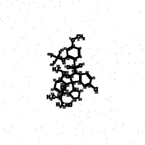 COc1ccc(S(=O)(=O)N2C(=O)C(c3ccccc3OC)(N3CC[C@H](O)[C@H]3C(=O)N(C)C)c3cc(Cl)ccc32)c(OC(F)(F)F)c1